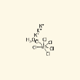 O.[Cl][Ir-3]([Cl])([Cl])([Cl])([Cl])[Cl].[K+].[K+].[K+]